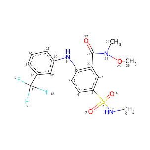 CNS(=O)(=O)c1ccc(Nc2cccc(C(F)(F)F)c2)c(C(=O)N(C)OC)c1